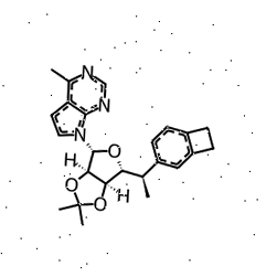 Cc1ncnc2c1ccn2[C@@H]1O[C@H]([C@H](C)c2ccc3c(c2)CC3)[C@H]2OC(C)(C)O[C@H]21